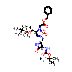 CC(C)(C)OC(=O)N[C@@H]1C(=O)N[C@@H]1CN1C[C@@H](CO[Si](C)(C)C(C)(C)C)N(CC(=O)OCc2ccccc2)S1(=O)=O